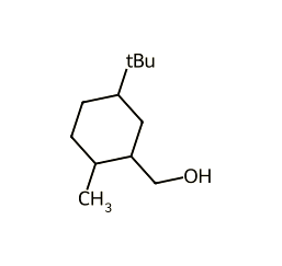 CC1CCC(C(C)(C)C)CC1CO